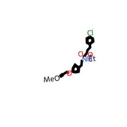 CCOC(CCc1ccc(Cl)cc1)C(=O)NCCc1ccc(OCC#COC)cc1